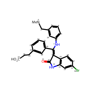 CNCc1cccc(NC(=C2C(=O)Nc3cc(Br)ccc32)c2cccc(CCC(=O)O)c2)c1